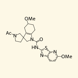 COc1ccc2nc(NC(=O)N3CC4(CCN(C(C)=O)C4)C4=C3CCC(OC)C4)sc2n1